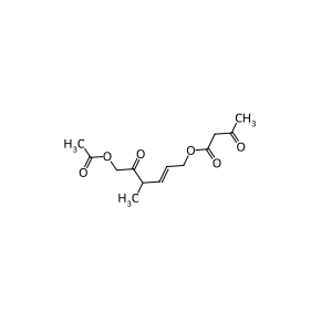 CC(=O)CC(=O)OCC=CC(C)C(=O)COC(C)=O